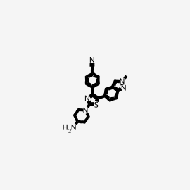 Cn1cc2cc(-c3sc(N4CCC(N)CC4)nc3-c3ccc(C#N)cc3)ccc2n1